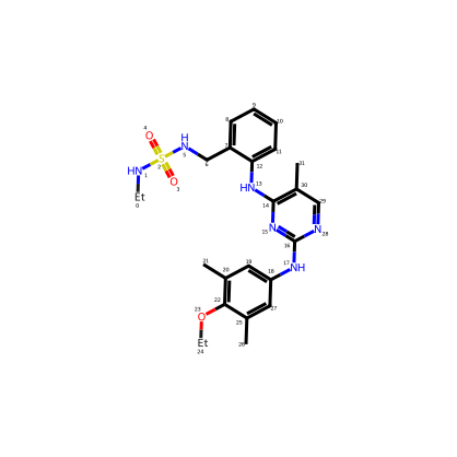 CCNS(=O)(=O)NCc1ccccc1Nc1nc(Nc2cc(C)c(OCC)c(C)c2)ncc1C